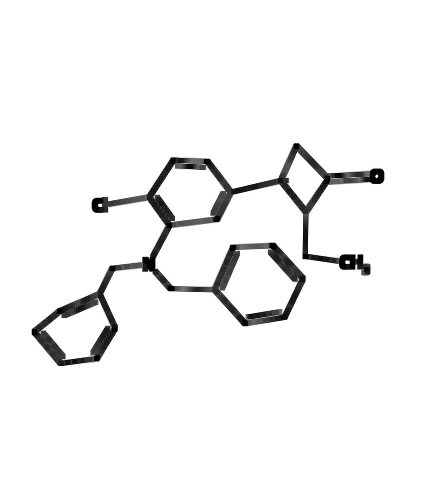 CCC1[C](c2ccc(Cl)c(N(Cc3ccccc3)Cc3ccccc3)c2)CC1=O